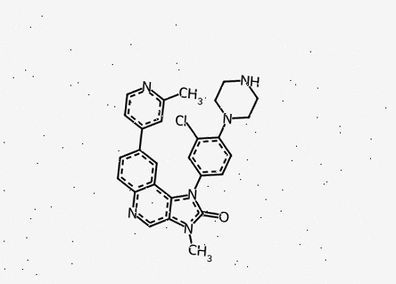 Cc1cc(-c2ccc3ncc4c(c3c2)n(-c2ccc(N3CCNCC3)c(Cl)c2)c(=O)n4C)ccn1